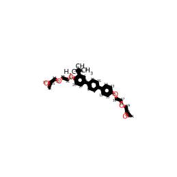 CC(C)(C)c1cc(C2=CCC(c3ccc(OCCOCC4CO4)cc3)CC2)ccc1OCCOCC1CO1